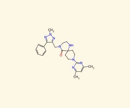 Cc1cc(C)nc(N2CCC3(CC2)NCCN(Cc2nn(C)nc2-c2ccccc2)C3=O)n1